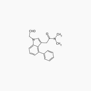 CN(C)C(=O)Cc1cn(CC=O)c2cccc(-c3ccccc3)c12